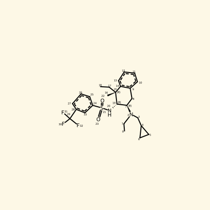 CCN(CC1CC1)[C@@H]1Cc2ccccc2[C@@](C)(CC)[C@H]1NS(=O)(=O)c1cccc(C(F)(F)F)c1